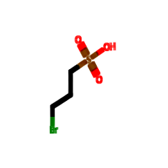 O=S(=O)(O)CCCBr